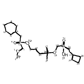 CC(C)OCP(=O)(CC1CCCCC1)OCCCC(C)(C)OCP(=O)(O)CC1CCC1